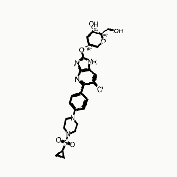 O=S(=O)(C1CC1)N1CCN(c2ccc(-c3nc4nc(O[C@H]5CO[C@H](CO)[C@@H](O)C5)[nH]c4cc3Cl)cc2)CC1